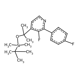 CC(C)(O[Si](C)(C)C(C)(C)C)c1ccnc(-c2ccc(F)cc2)c1F